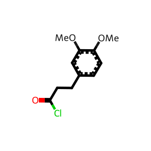 COc1ccc(CCC(=O)Cl)cc1OC